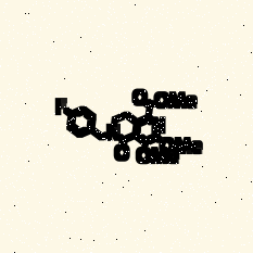 COC(=O)c1nc(OC)c(OC)c2c1CCN(Cc1ccc(F)cc1)C2=O